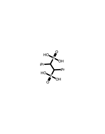 CC(C)C(C(C(C)C)P(=O)(O)O)P(=O)(O)O